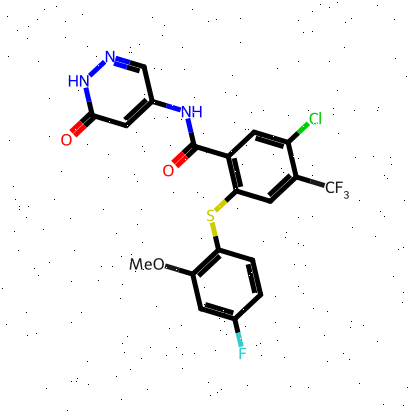 COc1cc(F)ccc1Sc1cc(C(F)(F)F)c(Cl)cc1C(=O)Nc1cn[nH]c(=O)c1